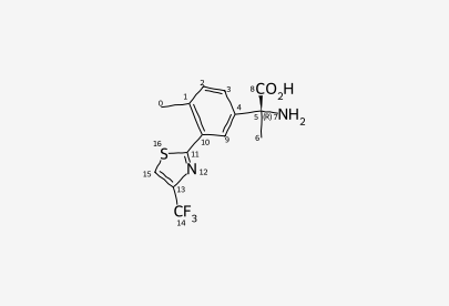 Cc1ccc([C@@](C)(N)C(=O)O)cc1-c1nc(C(F)(F)F)cs1